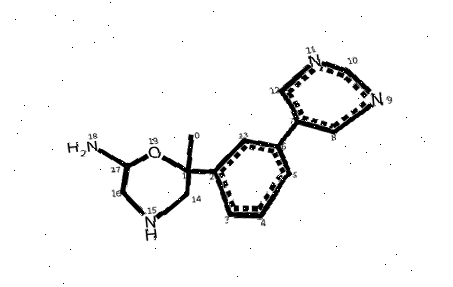 CC1(c2cccc(-c3cncnc3)c2)CNCC(N)O1